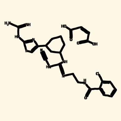 N#CN/C(=N/CCNC(=O)c1ccccc1Cl)NC1CCCC(c2csc(NC(=N)N)n2)C1.O=C(O)/C=C\C(=O)O